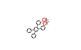 CC1(C)OB(c2cccc(-c3cc(-c4ccccc4)c(-c4ccccc4)cc3-c3ccccc3)c2)OC1(C)C